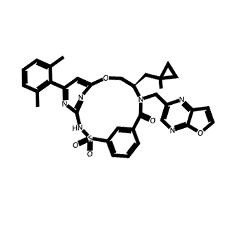 Cc1cccc(C)c1-c1cc2nc(n1)NS(=O)(=O)c1cccc(c1)C(=O)N(Cc1cnc3occc3n1)[C@H](CC1(C)CC1)CO2